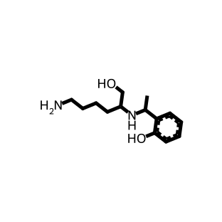 CC(NC(CO)CCCCN)c1ccccc1O